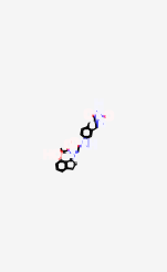 CN1C(=O)NC(=O)[C@@]12Cc1ccc(NC(=O)CN(C(=O)[C@](C)(O)C(F)(F)F)[C@@H]3CCc4ccccc43)cc1C2